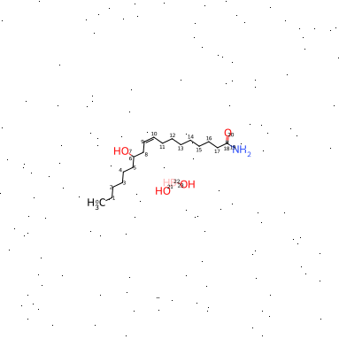 CCCCCCC(O)C/C=C\CCCCCCCC(N)=O.OBO